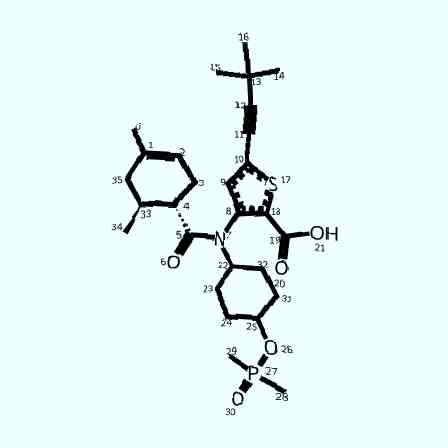 CC1=CC[C@H](C(=O)N(c2cc(C#CC(C)(C)C)sc2C(=O)O)C2CCC(OP(C)(C)=O)CC2)[C@@H](C)C1